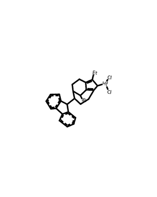 CCC1=C2CCC3C(C4c5ccccc5-c5ccccc54)CCC(=C2C3C(C)C)[CH]1[Hf]([Cl])[Cl]